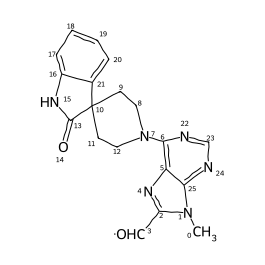 Cn1c([C]=O)nc2c(N3CCC4(CC3)C(=O)Nc3ccccc34)ncnc21